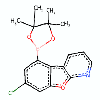 CC1(C)OB(c2cc(Cl)cc3oc4ncccc4c23)OC1(C)C